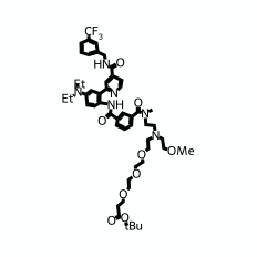 CCN(CC)c1ccc(NC(=O)c2cccc(C(=O)N(C)CCN(CCOC)CCOCCOCCOCCC(=O)OC(C)(C)C)c2)c(-c2cc(C(=O)NCc3cccc(C(F)(F)F)c3)ccn2)c1